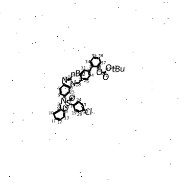 CCCCc1nc2ccc(N(Cc3ccccc3)S(=O)(=O)c3ccc(Cl)cc3)cc2n1Cc1ccc(-c2ccccc2OC(=O)OC(C)(C)C)cc1